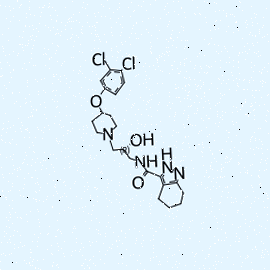 O=C(NC[C@@H](O)CN1CCC(Oc2ccc(Cl)c(Cl)c2)CC1)c1[nH]nc2c1CCCC2